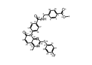 COC(=O)c1ccc(CNC(=O)c2ccc(-n3c(=O)ccc4c(C)nc(Sc5ccc(F)cc5)nc43)cc2)cc1